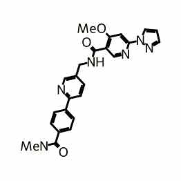 CNC(=O)c1ccc(-c2ccc(CNC(=O)c3cnc(-n4cccn4)cc3OC)cn2)cc1